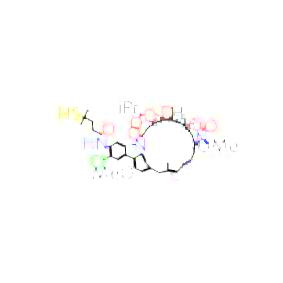 COc1cc2cc(c1-c1ccc(NC(=O)CCC(C)(C)S)c(Cl)c1)N(C)C(=O)C[C@H](OC(=O)C(C)C)[C@]1(C)O[C@H]1[C@H](C)[C@@H]1C[C@](OC)(C/C=C/C=C(\C)C2)N(C)C(=O)O1